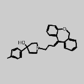 Cc1ccc(C2(O)CCN(CCC=C3c4ccccc4COc4ccccc43)CC2)cc1